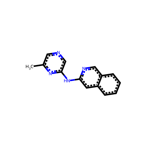 Cc1cncc(Nc2cc3ccccc3cn2)n1